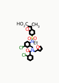 CCN(c1ccc(Cl)cc1CN(Cc1ccco1)C(=O)c1ccccc1Cl)S(=O)(=O)c1ccc2c(C)c(C(=O)O)oc2c1